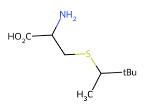 CC(SCC(N)C(=O)O)C(C)(C)C